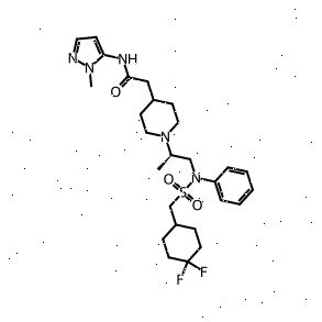 C[C@H](CN(c1ccccc1)S(=O)(=O)CC1CCC(F)(F)CC1)N1CCC(CC(=O)Nc2ccnn2C)CC1